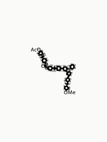 COc1ccc(C(C)(C)c2ccc(-c3ccc4c(c3)c3cc(-c5ccc(C(C)(C)c6ccc(OC(=O)Oc7ccc(C(C)(C)c8ccc(OC(C)=O)cc8)cc7)cc6)cc5)ccc3n4-c3ccccc3)cc2)cc1